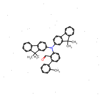 Cc1ccccc1-c1cccc(N(c2ccc3c(c2)C(C)(C)c2ccccc2-3)c2ccc3c(c2)C(C)(C)c2ccccc2-3)c1C=O